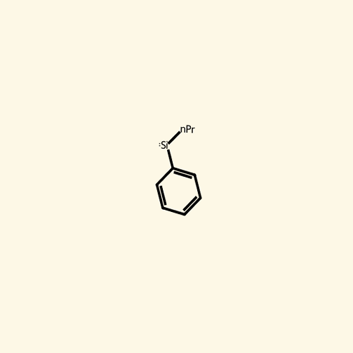 CCC[Si]c1ccccc1